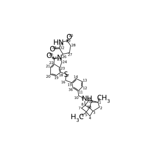 CC12CC3CC4(C)CC(NCc5cccc(CSc6cccc7c6CN(C6CCC(=O)NC6=O)C7=O)c5)(C1)C34C2